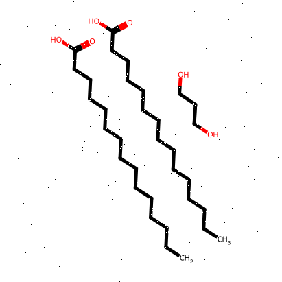 CCCCCCCCCCCCCCC(=O)O.CCCCCCCCCCCCCCC(=O)O.OCCCO